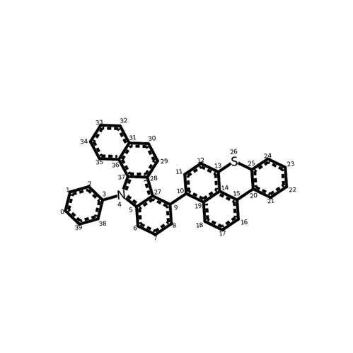 c1ccc(-n2c3cccc(-c4ccc5c6c(cccc46)-c4ccccc4S5)c3c3ccc4ccccc4c32)cc1